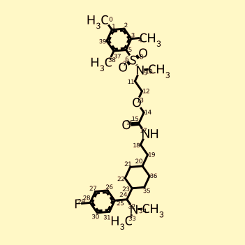 Cc1cc(C)c(S(=O)(=O)N(C)CCOCC(=O)NCCC2CCC(C(c3ccc(F)cc3)N(C)C)CC2)c(C)c1